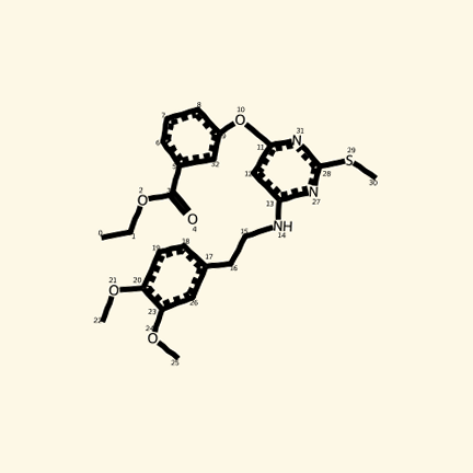 CCOC(=O)c1cccc(Oc2cc(NCCc3ccc(OC)c(OC)c3)nc(SC)n2)c1